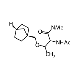 CNC(=O)C(NC(C)=O)C(C)OC[C@]12CC[C@H](CC1)C2